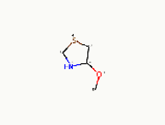 COC1[CH]SCN1